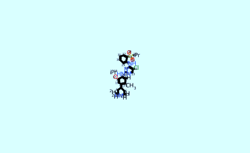 [2H]c1c(C)c(C2CC([2H])([2H])NC([2H])([2H])C2)cc(OC(C)C)c1Nc1ncc(Cl)c(Nc2ccccc2S(=O)(=O)C(C)C)n1